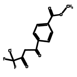 COC(=O)c1ccc(C(=O)CC(=O)C(F)(F)Cl)cc1